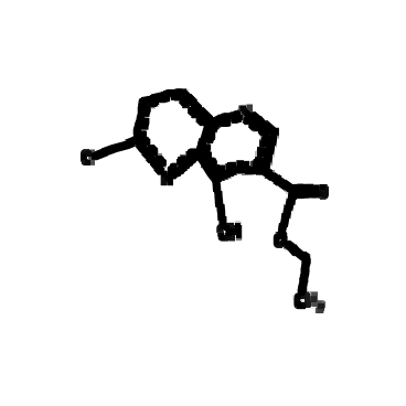 CCOC(=O)c1cnc2ccc(Cl)nc2c1O